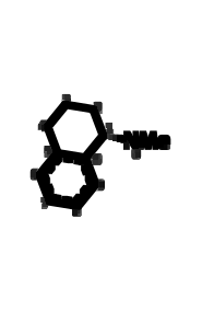 [CH2-][NH2+][C@H]1CCCc2ccccc21